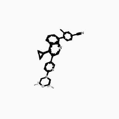 Cc1cc(C#N)ccc1-c1cccc2c(C3CC3)c(-c3ccc(N4C[C@@H](C)O[C@@H](C)C4)nc3)cnc12